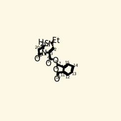 CCN1C=C(C(=O)OC2OC(=O)c3ccccc32)N2C(=O)C[C@H]2S1